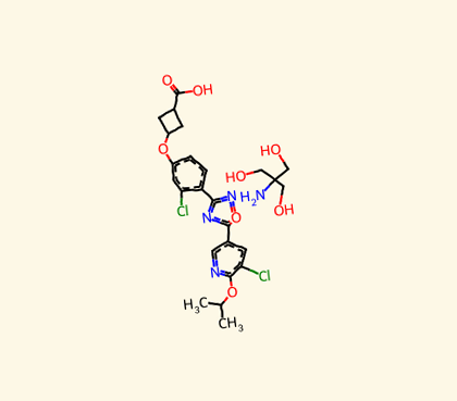 CC(C)Oc1ncc(-c2nc(-c3ccc(OC4CC(C(=O)O)C4)cc3Cl)no2)cc1Cl.NC(CO)(CO)CO